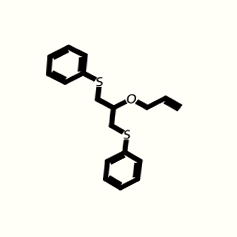 C=CCOC(CSc1ccccc1)CSc1ccccc1